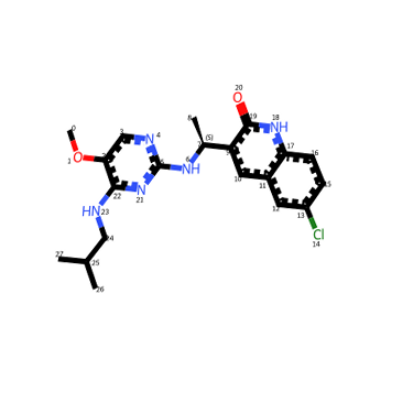 COc1cnc(N[C@@H](C)c2cc3cc(Cl)ccc3[nH]c2=O)nc1NCC(C)C